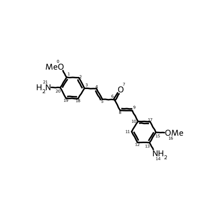 COc1cc(C=CC(=O)C=Cc2ccc(N)c(OC)c2)ccc1N